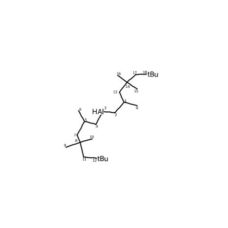 CC([CH2][AlH][CH2]C(C)CC(C)(C)CC(C)(C)C)CC(C)(C)CC(C)(C)C